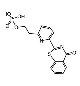 O=c1nc(-c2cccc(CCOP(=O)(O)O)n2)sc2ccccc12